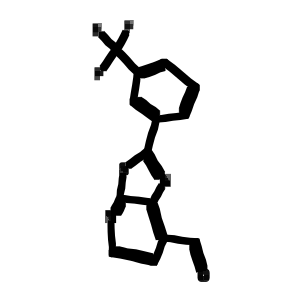 O=Cc1ccnc2sc(-c3cccc(C(F)(F)F)c3)nc12